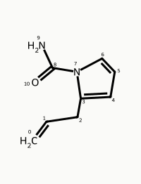 C=CCc1cccn1C(N)=O